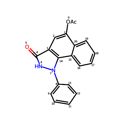 CC(=O)Oc1cc2c(=O)[nH]n(-c3ccccc3)c2c2ccccc12